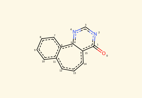 O=c1ncnc2c3ccccc3cccc1-2